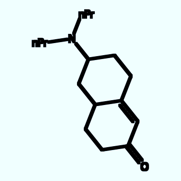 CCCN(CCC)C1CCC2=CC(=O)CCC2C1